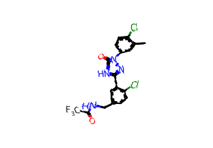 Cc1cc(-n2nc(-c3cc(CNC(=O)C(F)(F)F)ccc3Cl)[nH]c2=O)ccc1Cl